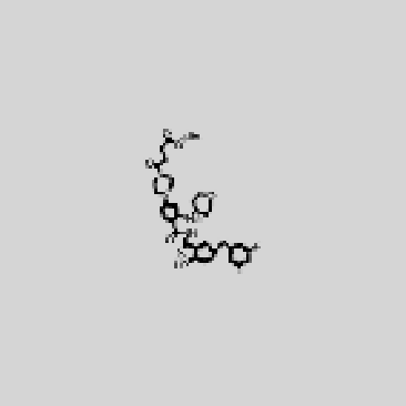 CC(C)(C)OC(=O)CCC(=O)N1CCN(c2ccc(C(=O)Nc3n[nH]c4ccc(Cc5cc(F)cc(F)c5)cc34)c(NC3CCOCC3)c2)CC1